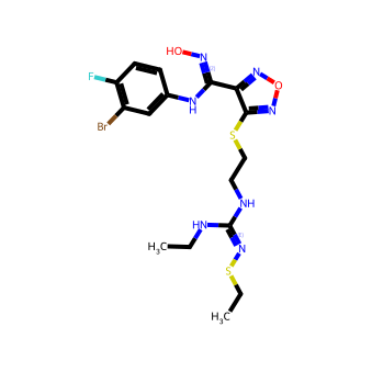 CCN/C(=N\SCC)NCCSc1nonc1/C(=N/O)Nc1ccc(F)c(Br)c1